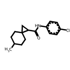 CC1CCC2(CC1)CC2C(=O)Nc1ccc(Cl)cc1